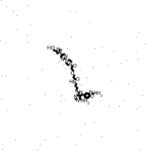 Nc1nc2cc(-c3nn(CCCCNC(=O)CCOCCC(=O)N4CCN(c5ncc(-n6cc(CO)nn6)cn5)CC4)c4ncnc(N)c34)ccc2o1